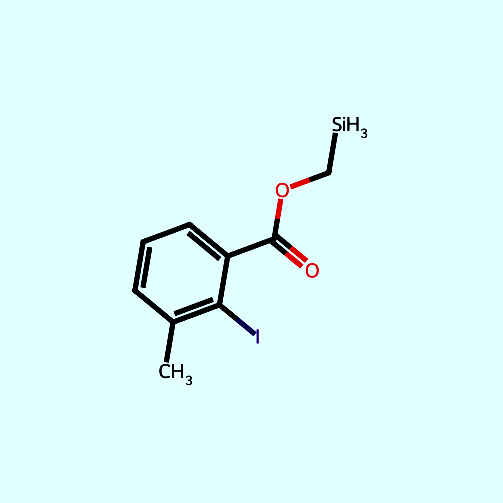 Cc1cccc(C(=O)OC[SiH3])c1I